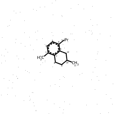 Cc1ccc(C(C)C)c2c1CCC(C)C2